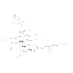 Br.CNCCO.CNCCO.COCCNCCOC.COCCNCCOC.COCCNCCOC.Cl.I.O=NO.O=[N+]([O-])O